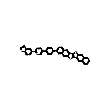 c1ccc2cc3c(cc2c1)sc1c2cc4ccc(-c5ccc(-c6ccc(-c7ccc8sccc8c7)nc6)cc5)cc4cc2sc31